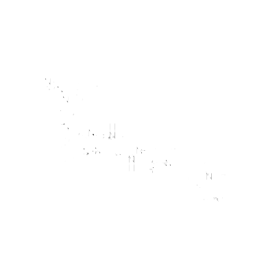 CCc1cnn(C2(CC#N)CN(c3cccn4nc(NC5=CN(CC(=O)N6CCC(CN7CCOCC7)CC6)NC5)nc34)C2)c1